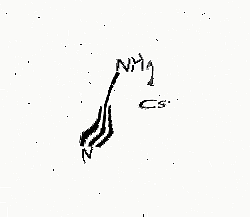 N#CN.[Cs]